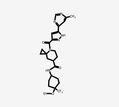 CCOC1(C(F)(F)F)CCC(NC(=O)C2CCN(C(=O)c3cc(-c4cc(C)ncn4)[nH]n3)C3(CC3)C2)CC1